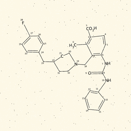 Cc1c(C(=O)O)ccc(NC(=O)Nc2ccccc2)c1CN1CCC(Cc2ccc(F)cc2)CC1